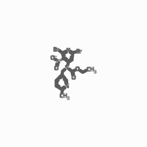 CCOC(=O)N(Cc1ccc(C)nc1)c1cc(Br)nc(Br)c1[N+](=O)[O-]